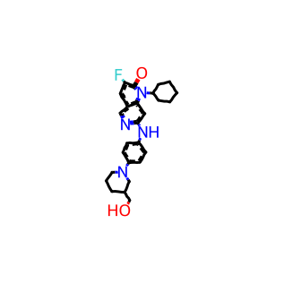 O=c1c(F)cc2cnc(Nc3ccc(N4CCCC(CO)C4)cc3)cc2n1C1CCCCC1